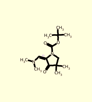 CN(C)/C=C1\C(=O)C(C)(C)CN1C(=O)OC(C)(C)C